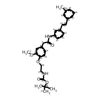 COc1cc(CC(=O)Nc2cccc(/C=C/c3cccc(C)c3)c2)ccc1OCCNC(=O)OC(C)(C)C